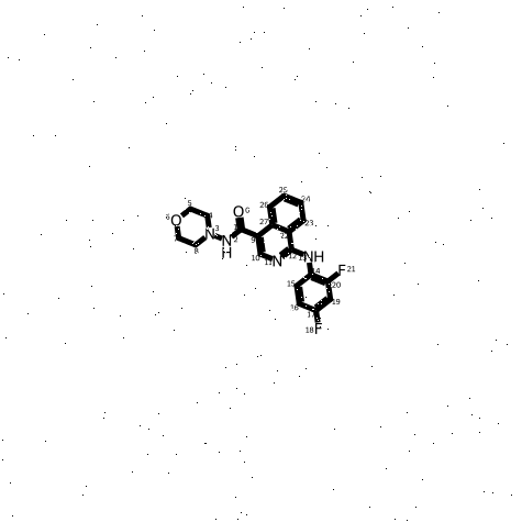 O=C(NN1CCOCC1)c1cnc(Nc2ccc(F)cc2F)c2ccccc12